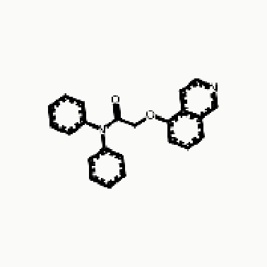 O=C(COc1cccc2cnccc12)N(c1ccccc1)c1ccccc1